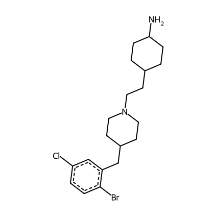 NC1CCC(CCN2CCC(Cc3cc(Cl)ccc3Br)CC2)CC1